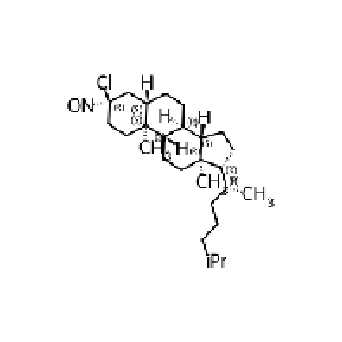 CC(C)CCC[C@@H](C)[C@H]1CC[C@H]2[C@@H]3CC[C@H]4C[C@@](Cl)(N=O)CC[C@]4(C)[C@H]3CC[C@]12C